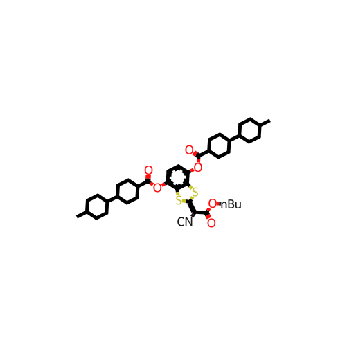 [C-]#[N+]C(C(=O)OCCCC)=C1Sc2c(OC(=O)C3CCC(C4CCC(C)CC4)CC3)ccc(OC(=O)C3CCC(C4CCC(C)CC4)CC3)c2S1